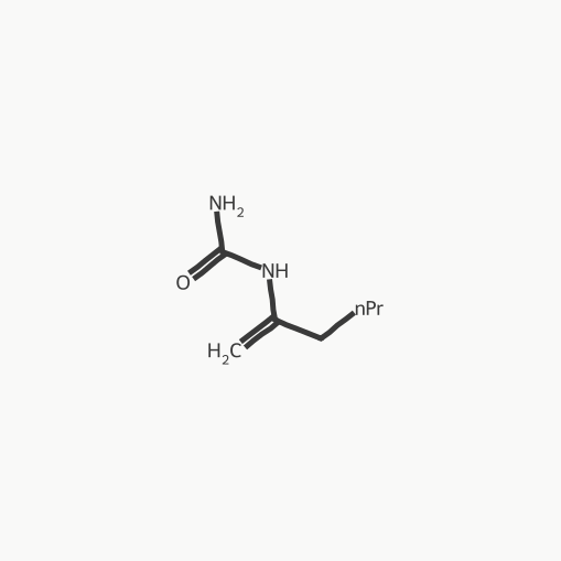 C=C(CCCC)NC(N)=O